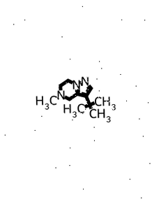 CN1CCn2ncc(C(C)(C)C)c2C1